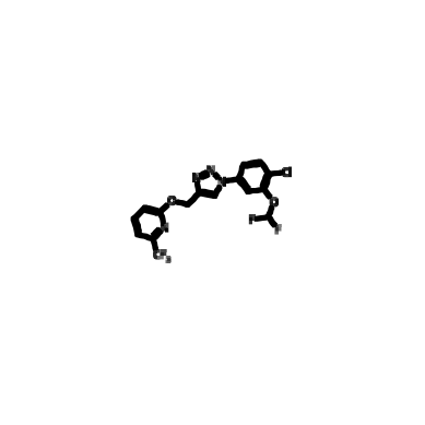 FC(F)Oc1cc(-n2cc(COc3cccc(C(F)(F)F)n3)nn2)ccc1Cl